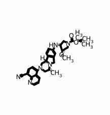 CO[C@@H]1CN(C(=O)OC(C)(C)C)C[C@H]1Nc1ccc2c(c1)CN1[C@H](C)CN(c3ccc(C#N)c4ncccc34)C[C@H]21